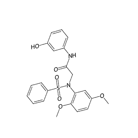 COc1ccc(OC)c(N(CC(=O)Nc2cccc(O)c2)S(=O)(=O)c2ccccc2)c1